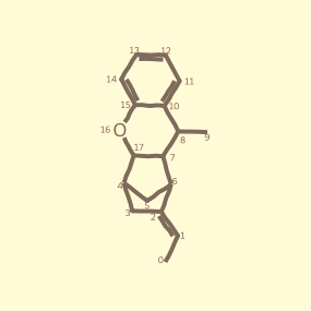 CC=C1CC2CC1C1C(C)c3ccccc3OC21